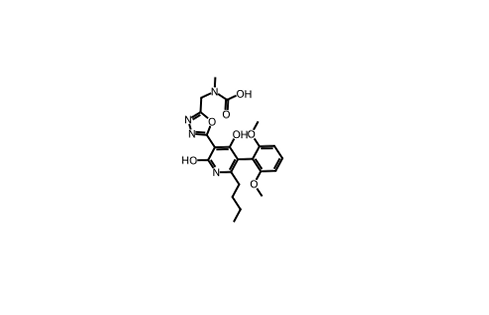 CCCCc1nc(O)c(-c2nnc(CN(C)C(=O)O)o2)c(O)c1-c1c(OC)cccc1OC